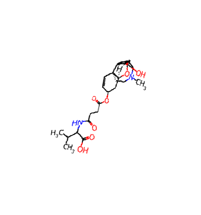 CC(C)C(NC(=O)CCC(=O)O[C@H]1C=C[C@@]23CCN(C)Cc4ccc(O)c(c42)O[C@H]3C1)C(=O)O